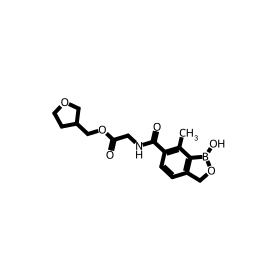 Cc1c(C(=O)NCC(=O)OCC2CCOC2)ccc2c1B(O)OC2